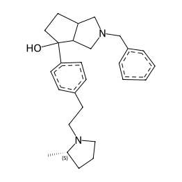 C[C@H]1CCCN1CCc1ccc(C2(O)CCC3CN(Cc4ccccc4)CC32)cc1